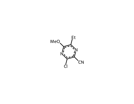 CCc1nc(C#N)c(Cl)nc1OC